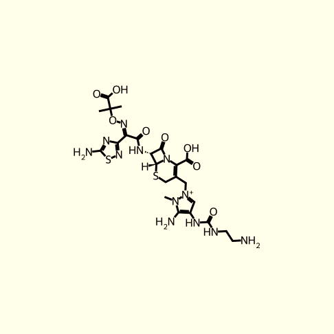 Cn1c(N)c(NC(=O)NCCN)c[n+]1CC1=C(C(=O)O)N2C(=O)[C@@H](NC(=O)/C(=N/OC(C)(C)C(=O)O)c3nsc(N)n3)[C@H]2SC1